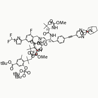 COC(=O)N[C@H](C(=O)N[C@@H](Cc1ccc(C#Cc2cnc(N3CC4CCC(C3)N4C3COC3)nc2)cc1)[C@H](CN(Cc1c(F)cc(-c2ccn(C(F)F)n2)cc1F)NC(=O)[C@@H](NC(=O)OC)C(C)(C)C(F)(F)F)OC(=O)OCOC(=O)CC(C)(C)c1c(C)cc(C(=O)OC(C)(C)C)cc1OP(=O)(OC(C)(C)C)OC(C)(C)C)C(C)(C)C(F)(F)F